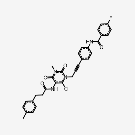 Cc1ccc(CCC(=O)Nc2c(Cl)n(CC#Cc3ccc(NC(=O)c4ccc(F)cc4)cc3)c(=O)n(C)c2=O)cc1